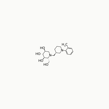 Cc1ccccc1N1CCC[C@H](CN2C[C@H](O)[C@@H](O)[C@H](O)[C@H]2CO)C1